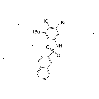 CC(C)(C)c1cc(NS(=O)(=O)c2ccc3ccccc3c2)cc(C(C)(C)C)c1O